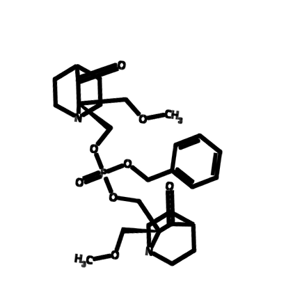 COC[C@@]1(COP(=O)(OCc2ccccc2)OC[C@]2(COC)C(=O)C3CCN2CC3)C(=O)C2CCN1CC2